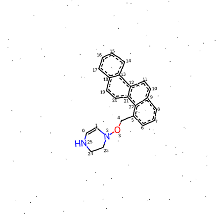 C1=CN(OCc2cccc3ccc4c5ccccc5ccc4c23)CCN1